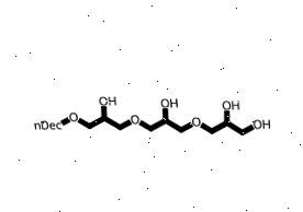 CCCCCCCCCCOCC(O)COCC(O)COCC(O)CO